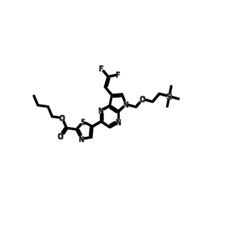 CCCCOC(=O)c1ncc(-c2cnc3c(n2)c(C=C(F)F)cn3COCC[Si](C)(C)C)s1